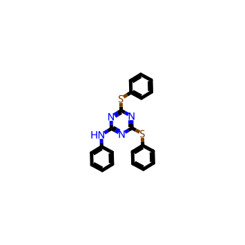 c1ccc(Nc2nc(Sc3ccccc3)nc(Sc3ccccc3)n2)cc1